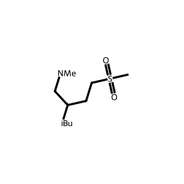 CCC(C)[C](CCS(C)(=O)=O)CNC